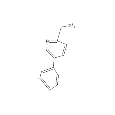 NCc1ccc(-c2c[c]ccc2)cn1